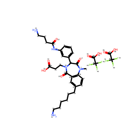 CN1C(=O)C(c2cccc(NC(=O)CCCN)c2)N(CCC(=O)O)C(=O)c2cc(CCCCCCN)ccc21.O=C(O)C(F)(F)F.O=C(O)C(F)(F)F